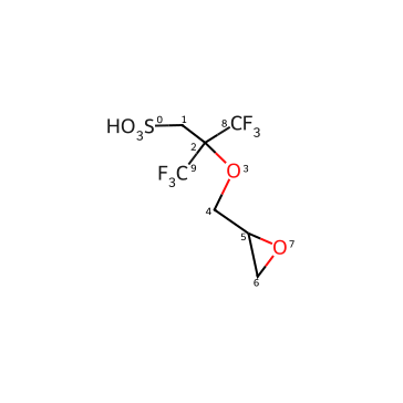 O=S(=O)(O)CC(OCC1CO1)(C(F)(F)F)C(F)(F)F